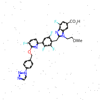 COCCn1c(Cc2c(F)cc(-c3ccc(F)c(OCc4ccc(-n5ccnn5)cc4)n3)c(F)c2F)nc2c(F)cc(C(=O)O)cc21